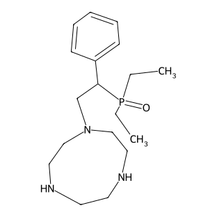 CCP(=O)(CC)C(CN1CCNCCNCC1)c1ccccc1